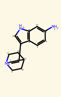 Nc1ccc2c(C3=CN4CCC3CC4)c[nH]c2c1